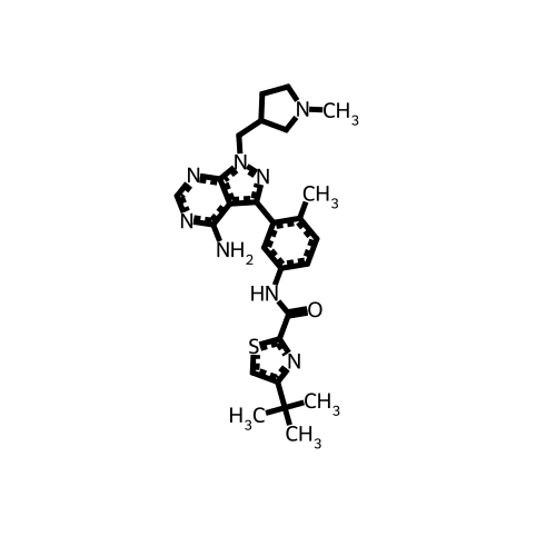 Cc1ccc(NC(=O)c2nc(C(C)(C)C)cs2)cc1-c1nn(CC2CCN(C)C2)c2ncnc(N)c12